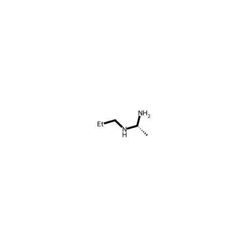 CCCN[C@@H](C)N